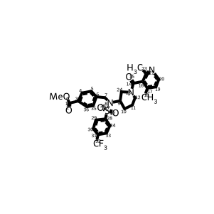 COC(=O)c1ccc(CN(C2CCCN(C(=O)c3c(C)ccnc3C)C2)S(=O)(=O)c2ccc(C(F)(F)F)cc2)cc1